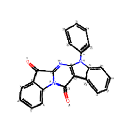 O=C1c2ccccc2-n2c1nc1c(c2=O)c2ccccc2n1-c1ccccc1